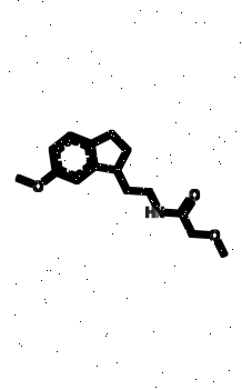 COCC(=O)NCCC1CCc2ccc(OC)cc21